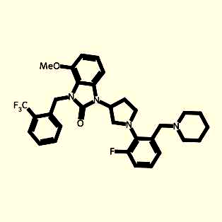 COc1cccc2c1n(Cc1ccccc1C(F)(F)F)c(=O)n2C1CCN(c2c(F)cccc2CN2CCCCC2)C1